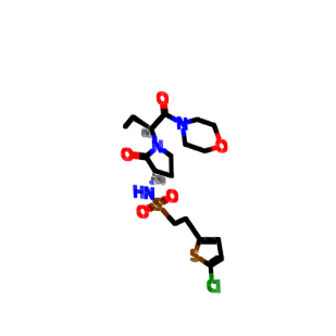 CC[C@@H](C(=O)N1CCOCC1)N1CC[C@H](NS(=O)(=O)CCc2ccc(Cl)s2)C1=O